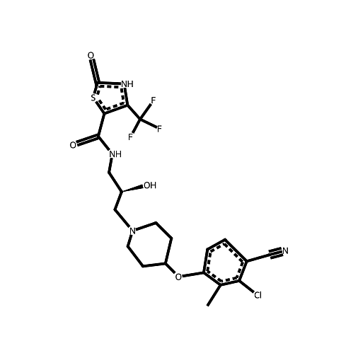 Cc1c(OC2CCN(C[C@H](O)CNC(=O)c3sc(=O)[nH]c3C(F)(F)F)CC2)ccc(C#N)c1Cl